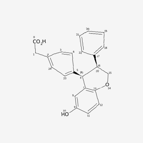 O=C(O)Cc1ccc([C@@H]2c3cc(O)ccc3OC[C@@H]2c2ccccc2)cc1